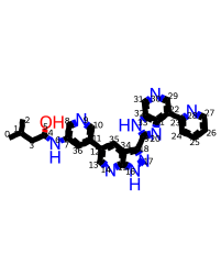 CC(C)CC(O)Nc1cncc(-c2cnc3[nH]nc(-c4nc5c(-c6ccccn6)cncc5[nH]4)c3c2)c1